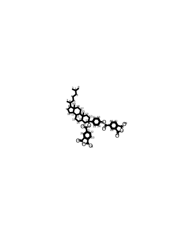 CC(C)CCCC(C)C1CCC2C3CCC4CC(OC(=O)c5ccc6c(c5)C(=O)OC6=O)(c5ccc(OC(=O)c6ccc7c(c6)C(=O)OC7=O)cc5)CCC4(C)C3CCC12C